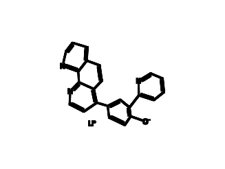 [Li+].[O-]c1ccc(-c2ccnc3c2ccc2cccnc23)cc1-c1ccccn1